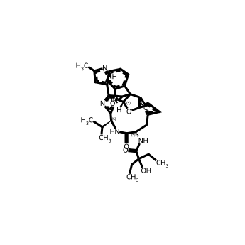 CCC(O)(CC)C(=O)N[C@H]1Cc2ccc3c(c2)C2(c4ccccc4N[C@H]2O3)c2oc(nc2-c2cc(C)n[nH]2)[C@H](C(C)C)NC1=O